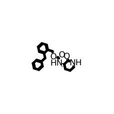 O=C(N[C@H]1CCCNC1=O)OCc1ccccc1Cc1ccccc1